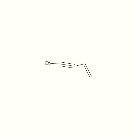 [CH]=CC#CCC